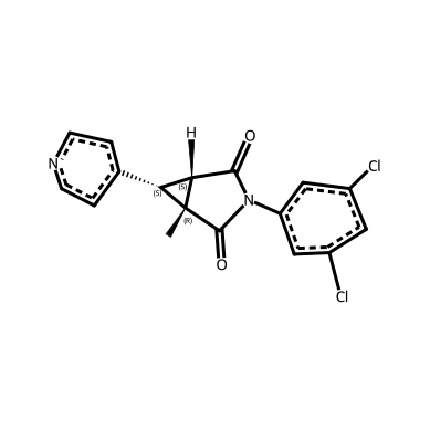 C[C@]12C(=O)N(c3cc(Cl)cc(Cl)c3)C(=O)[C@H]1[C@H]2c1ccncc1